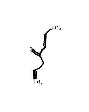 C=CCC(=O)C=CC